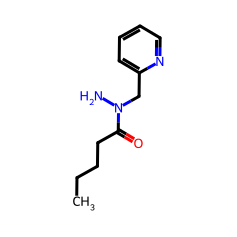 CCCCC(=O)N(N)Cc1ccccn1